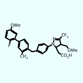 COCC1C(C(F)(F)F)=NN(c2ccc(Cc3ccc(-c4cc(OC)ccc4F)cc3C)cc2)C1CC(=O)O